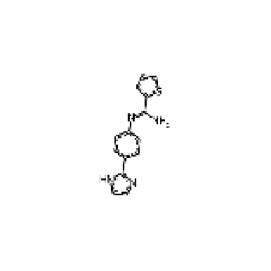 NC(=Nc1ccc(-c2ncc[nH]2)cc1)c1cccs1